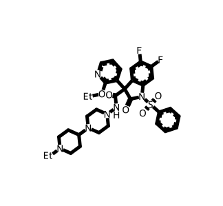 CCOc1ncccc1C1(C(=O)NN2CCN(C3CCN(CC)CC3)CC2)C(=O)N(S(=O)(=O)c2ccccc2)c2cc(F)c(F)cc21